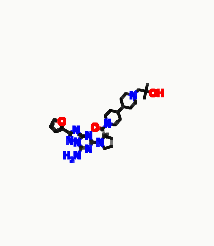 CC(C)(O)CN1CCC(C2CCN(C(=O)[C@@H]3CCCN3c3nc(N)n4nc(-c5ccco5)nc4n3)CC2)CC1